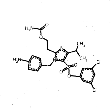 CC(C)c1nc(CCOC(N)=O)n(Cc2ccc(N)cc2)c1S(=O)(=O)Oc1cc(Cl)cc(Cl)c1